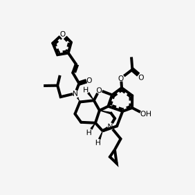 CC(=O)Oc1cc(O)c2c3c1O[C@H]1[C@@H](N(CC(C)C)C(=O)/C=C/c4ccoc4)CC[C@H]4[C@@H](C2)N(CC2CC2)CC[C@@]341